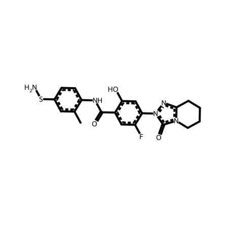 Cc1cc(SN)ccc1NC(=O)c1cc(F)c(-n2nc3n(c2=O)CCCC3)cc1O